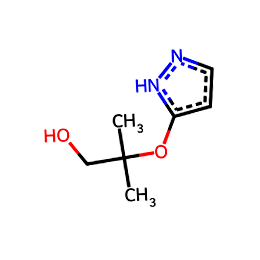 CC(C)(CO)Oc1ccn[nH]1